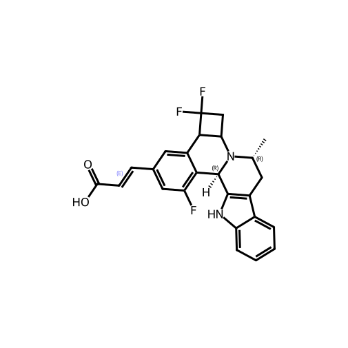 C[C@@H]1Cc2c([nH]c3ccccc23)[C@H]2c3c(F)cc(/C=C/C(=O)O)cc3C3C(CC3(F)F)N21